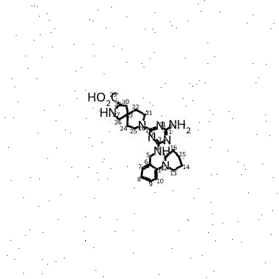 Nc1nc(NCc2ccccc2N2CCCCC2)nc(N2CCC3(CC2)CNC(C(=O)O)C3)n1